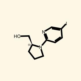 OC[C@@H]1CCCN1c1ccc(I)cn1